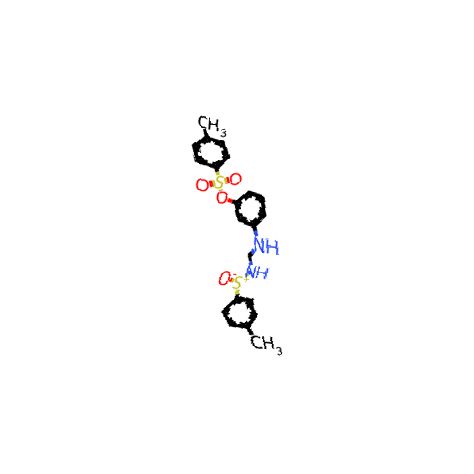 Cc1ccc([S+]([O-])NCNc2cccc(OS(=O)(=O)c3ccc(C)cc3)c2)cc1